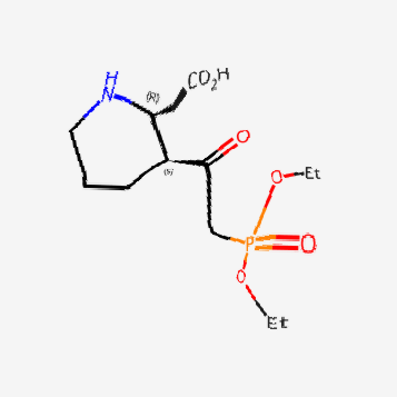 CCOP(=O)(CC(=O)[C@H]1CCCN[C@H]1C(=O)O)OCC